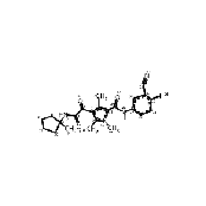 Cc1c(C(=O)C(=O)NC2(C)CCCC2)c(C)n(C)c1C(=O)Nc1ccc(F)c(C#N)c1